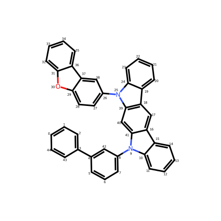 c1ccc(-c2cccc(-n3c4ccccc4c4cc5c6ccccc6n(-c6ccc7oc8ccccc8c7c6)c5cc43)c2)cc1